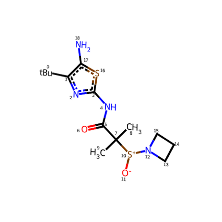 CC(C)(C)c1nc(NC(=O)C(C)(C)[S+]([O-])N2CCC2)sc1N